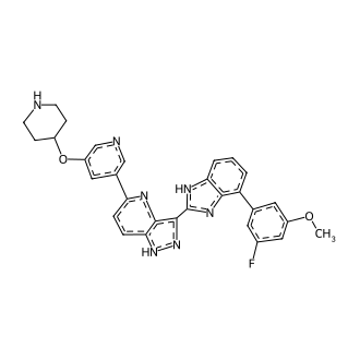 COc1cc(F)cc(-c2cccc3[nH]c(-c4n[nH]c5ccc(-c6cncc(OC7CCNCC7)c6)nc45)nc23)c1